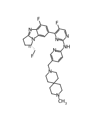 CN1CCC2(CC1)CCN(Cc1ccc(Nc3ncc(F)c(-c4cc(F)c5nc6n(c5c4)[C@H](CF)CC6)n3)nc1)CC2